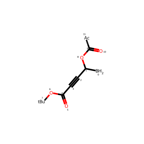 BC(C#CC(=O)OC(C)(C)C)OC(=O)C(C)=O